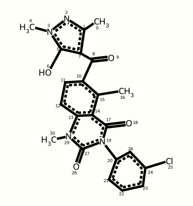 Cc1nn(C)c(O)c1C(=O)c1ccc2c(c1C)c(=O)n(-c1cccc(Cl)c1)c(=O)n2C